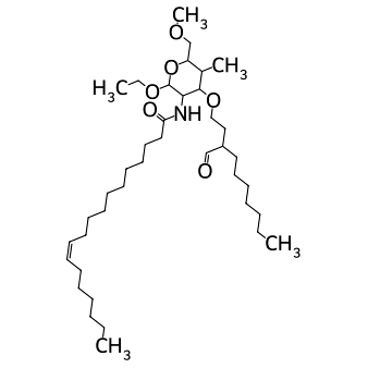 CCCCCC/C=C\CCCCCCCCCC(=O)NC1C(OCC)OC(COC)C(C)C1OCCC(C=O)CCCCCCC